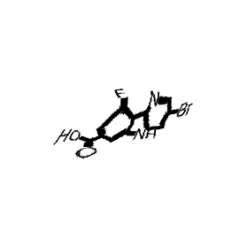 O=C(O)c1cc(F)c2c(c1)[nH]c1cc(Br)cnc12